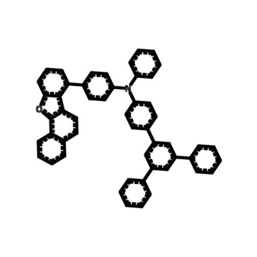 c1ccc(-c2cc(-c3ccccc3)cc(-c3ccc(N(c4ccccc4)c4ccc(-c5cccc6oc7c8ccccc8ccc7c56)cc4)cc3)c2)cc1